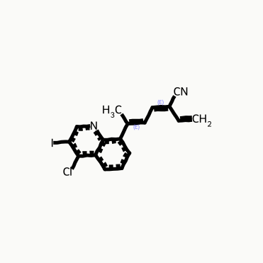 C=C/C(C#N)=C\C=C(/C)c1cccc2c(Cl)c(I)cnc12